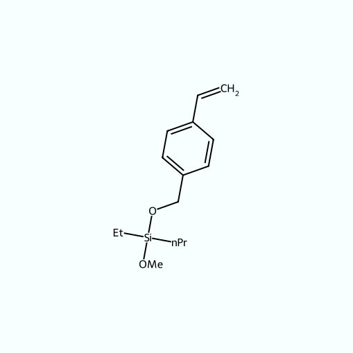 C=Cc1ccc(CO[Si](CC)(CCC)OC)cc1